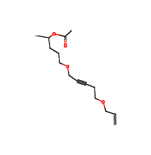 [CH2]C(CCCOCC#CCCOCC=C)OC(C)=O